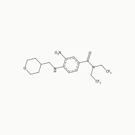 O=C(c1ccc(NCC2CCOCC2)c([N+](=O)[O-])c1)N(CC(F)(F)F)CC(F)(F)F